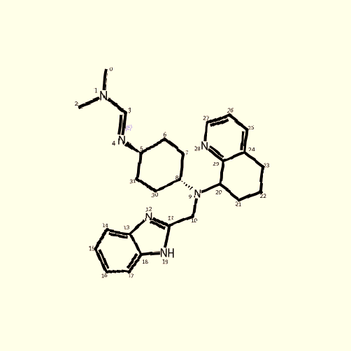 CN(C)/C=N/[C@H]1CC[C@H](N(Cc2nc3ccccc3[nH]2)C2CCCc3cccnc32)CC1